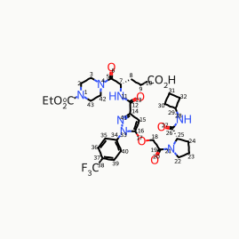 CCOC(=O)N1CCN(C(=O)[C@H](CCC(=O)O)NC(=O)c2cc(OCC(=O)N3CCC[C@H]3C(=O)NC3CCC3)n(-c3ccc(C(F)(F)F)cc3)n2)CC1